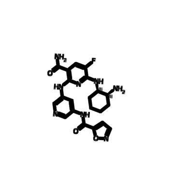 NC(=O)c1cc(F)c(N[C@@H]2CCCC[C@@H]2N)nc1Nc1cncc(NC(=O)c2ccno2)c1